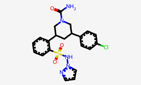 NC(=O)N1CC(c2ccc(Cl)cc2)CC(c2ccccc2S(=O)(=O)Nn2cccn2)C1